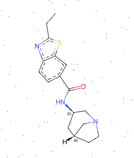 CCc1nc2ccc(C(=O)N[C@@H]3C[C@H]4CCN(C4)C3)cc2s1